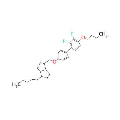 CCCCCC1CCC2C(COc3ccc(-c4ccc(OCCCC)c(F)c4F)cc3)CCC12